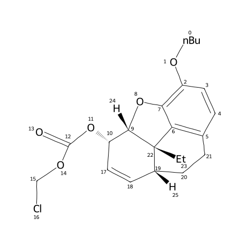 CCCCOc1ccc2c3c1O[C@H]1[C@@H](OC(=O)OCCl)C=C[C@@H](CC2)[C@@]31CC